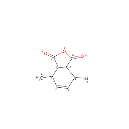 CCC1C=CC(C)C2C(=O)OC(=O)C12